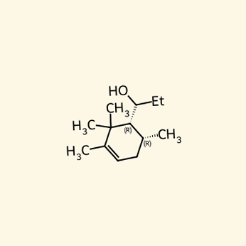 CCC(O)[C@@H]1[C@H](C)CC=C(C)C1(C)C